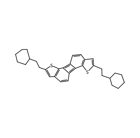 c1cc2cc(CCC3CCCCC3)sc2c2c1=c1c=2ccc2cc(CCC3CCCCC3)sc12